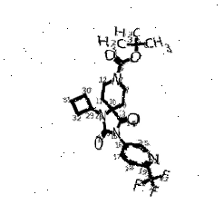 CC(C)(C)OC(=O)N1CCC2(CC1)C(=O)N(c1ccc(C(F)(F)F)nc1)C(=O)N2C1CCC1